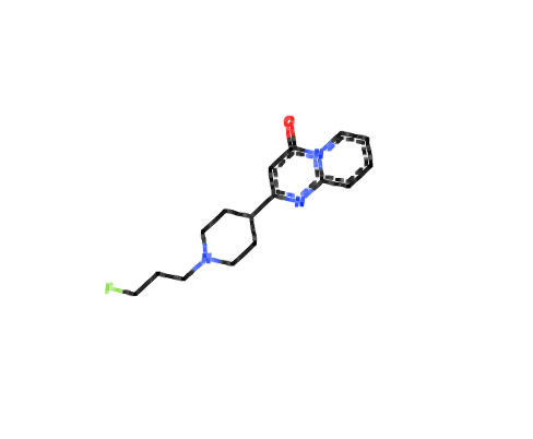 O=c1cc(C2CCN(CCCF)CC2)nc2ccccn12